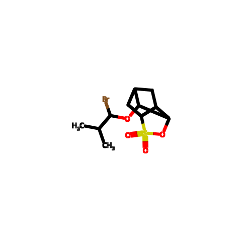 CC(C)C(Br)OC1C2CC3C1OS(=O)(=O)C3C2